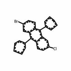 Clc1ccc2c(-c3ccccc3)c3cc(Br)ccc3c(-c3ccccc3)c2c1